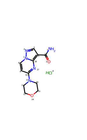 Cl.NC(=O)c1cnn2ccc(N3CCOCC3)nc12